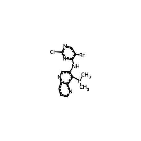 CP(C)c1c(Nc2nc(Cl)ncc2Br)cnc2cccnc12